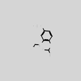 O=Cc1ccc(OC(F)F)c(OCC(F)(F)F)c1